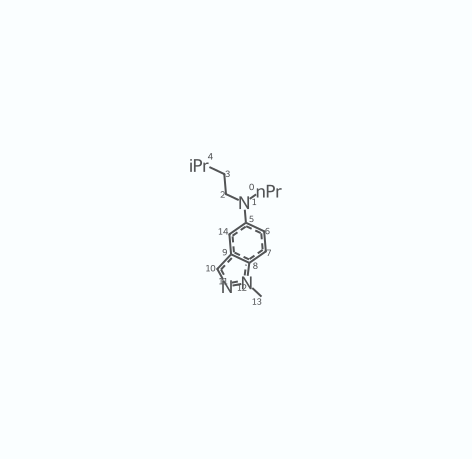 CCCN(CCC(C)C)c1ccc2c(cnn2C)c1